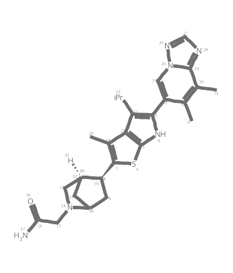 Cc1c(-c2[nH]c3sc([C@H]4CC5C[C@H]4CN5CC(N)=O)c(C)c3c2C(C)C)cn2ncnc2c1C